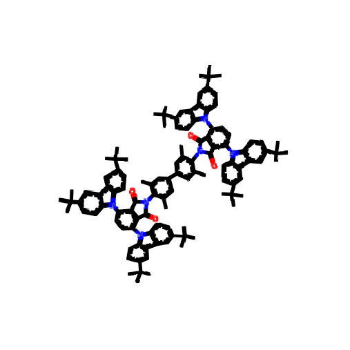 Cc1cc(-c2cc(C)c(N3C(=O)c4c(-n5c6ccc(C(C)(C)C)cc6c6cc(C(C)(C)C)ccc65)ccc(-n5c6ccc(C(C)(C)C)cc6c6cc(C(C)(C)C)ccc65)c4C3=O)c(C)c2)cc(C)c1N1C(=O)c2c(-n3c4ccc(C(C)(C)C)cc4c4cc(C(C)(C)C)ccc43)ccc(-n3c4ccc(C(C)(C)C)cc4c4cc(C(C)(C)C)ccc43)c2C1=O